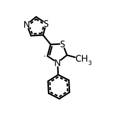 CC1SC(c2cncs2)=[C]N1c1ccccc1